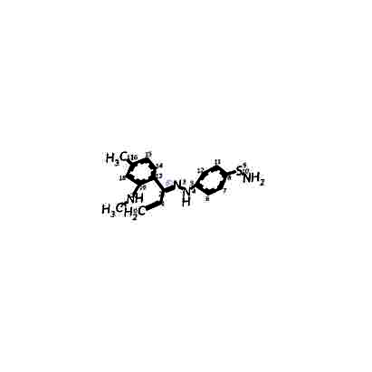 C=C/C(=N\Nc1ccc(SN)cc1)c1ccc(C)cc1NC